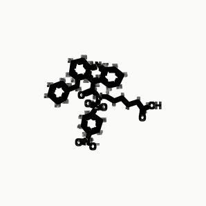 O=C(O)CCCCCN(C(=O)c1c2ccccc2nc2cccc(Cc3ccccc3)c12)S(=O)(=O)c1ccc([N+](=O)[O-])cc1